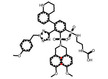 COc1ccc(CN(Cc2ccc(OC)cc2)S(=O)(=O)c2c(S(=O)(=O)NCCNC(=O)O)ccc(-c3cccc4c3CCCN4)c2-c2nnn(Cc3ccc(OC)cc3)n2)cc1